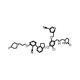 N#Cc1cncc(COc2cc(O[C@H]3CCc4c(-c5cccc(OCCCN6CCC(F)CC6)c5C#N)cccc43)c(Cl)cc2CNCC2CCC(=O)N2)c1